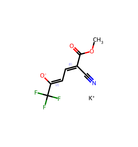 COC(=O)/C(C#N)=C/C=C(\[O-])C(F)(F)F.[K+]